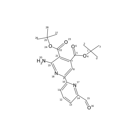 CC(C)(C)OC(=O)c1cc(-c2cccc(C=O)n2)nc(N)c1C(=O)OC(C)(C)C